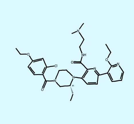 CCOc1ccc(C(=O)N2CCN(c3ccc(-c4cccnc4OCC)nc3C(=O)NCCN(C)C)[C@H](CC)C2)c(Cl)c1